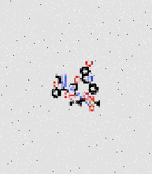 C=CC(=O)N[C@@H](C(=O)N1CC(Oc2cc(-c3ccccc3)nc3cc(OC)ccc23)C[C@H]1C(=O)N[C@]1(C(=O)NS(=O)(=O)C2CC2)C[C@H]1C=C)c1ccccc1